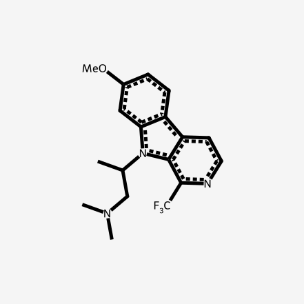 COc1ccc2c3ccnc(C(F)(F)F)c3n(C(C)CN(C)C)c2c1